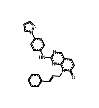 O=c1ccc2cnc(Nc3ccc(-n4cccn4)cc3)nc2n1C/C=C/c1ccccc1